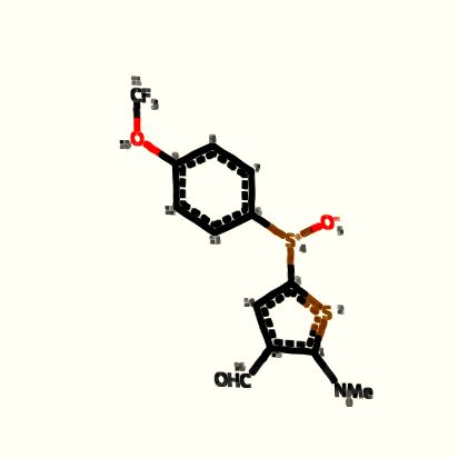 CNc1sc([S+]([O-])c2ccc(OC(F)(F)F)cc2)cc1C=O